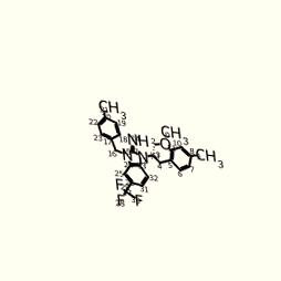 COC[C@H](Cc1ccc(C)cc1)n1c(=N)n(Cc2ccc(C)cc2)c2cc(C(F)(F)F)ccc21